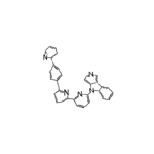 c1ccc(-c2ccc(-c3cccc(-c4cccc(-n5c6ccccc6c6cnccc65)n4)n3)cc2)nc1